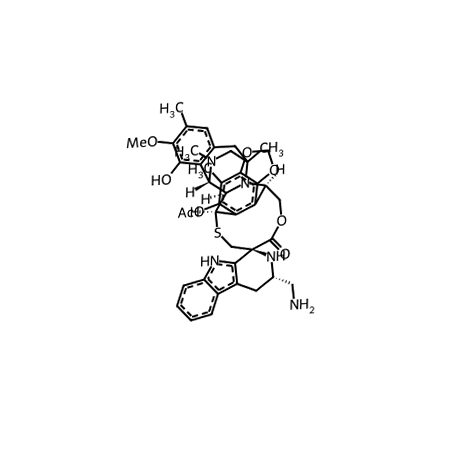 COc1c(C)cc2c(c1O)[C@H]1[C@@H]3[C@@H]4SC[C@]5(N[C@H](CN)Cc6c5[nH]c5ccccc65)C(=O)OC[C@@H](c5c6c(c(C)c(OC(C)=O)c54)OCO6)N3C(C)(C2)CN1C